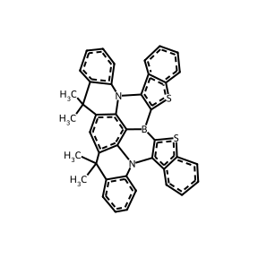 CC1(C)c2ccccc2N2c3c1cc1c4c3B(c3sc5ccccc5c32)c2sc3ccccc3c2N4c2ccccc2C1(C)C